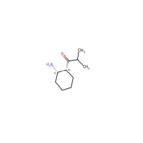 CC(C)C(=O)[C@@H]1CCCC[C@@H]1N